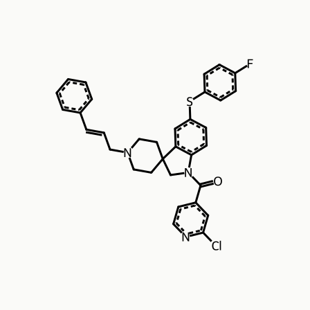 O=C(c1ccnc(Cl)c1)N1CC2(CCN(CC=Cc3ccccc3)CC2)c2cc(Sc3ccc(F)cc3)ccc21